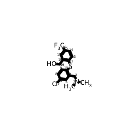 CN(C)Cc1cc(Cl)ccc1Sc1ccc(C(F)(F)F)cc1CO